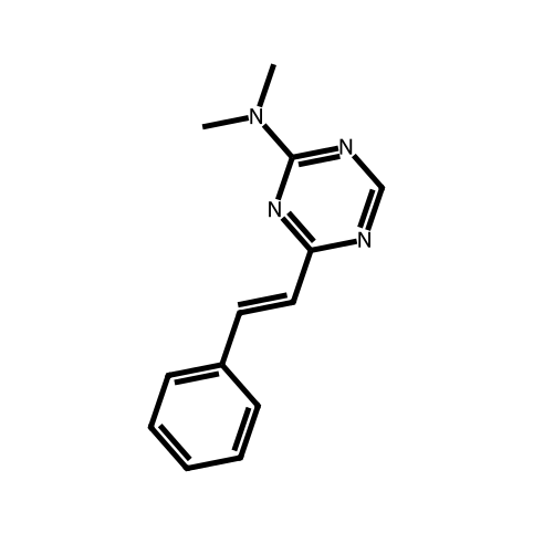 CN(C)c1ncnc(C=Cc2ccccc2)n1